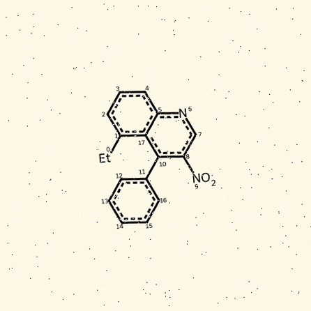 CCc1cccc2ncc([N+](=O)[O-])c(-c3ccccc3)c12